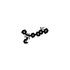 N#Cc1ccccc1-c1ccc2cc(-c3ccc(-c4nc(-c5ccccc5)nc(-c5ccccc5)n4)cc3)ccc2c1